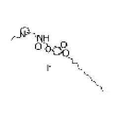 CCCCCCCCCCCCCCOc1ccc(OCC(=O)NCCc2ccc[n+](CCC)c2)cc1OC.[I-]